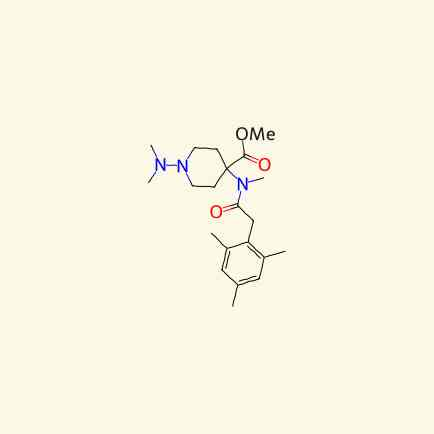 COC(=O)C1(N(C)C(=O)Cc2c(C)cc(C)cc2C)CCN(N(C)C)CC1